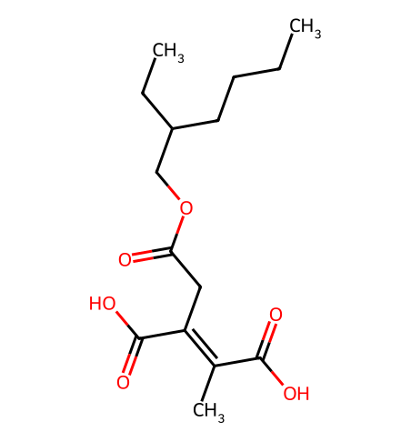 CCCCC(CC)COC(=O)C/C(C(=O)O)=C(/C)C(=O)O